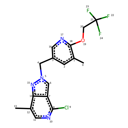 Cc1cc(Cn2cc3c(Cl)ncc(C)c3n2)cnc1OCC(F)(F)F